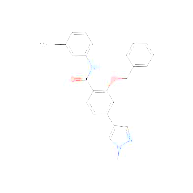 COc1cccc(NC(=O)c2ccc(-c3cnn(C)c3)cc2OCc2ccccc2)c1